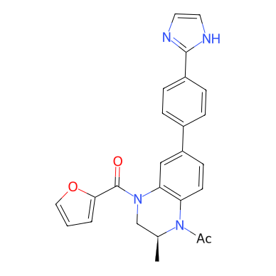 CC(=O)N1c2ccc(-c3ccc(-c4ncc[nH]4)cc3)cc2N(C(=O)c2ccco2)C[C@@H]1C